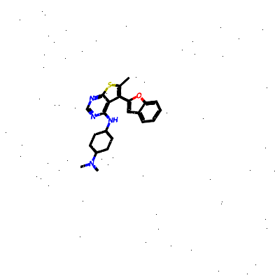 Cc1sc2ncnc(NC3CCC(N(C)C)CC3)c2c1-c1cc2ccccc2o1